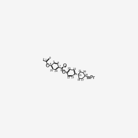 C=C(C)Oc1ccc(C(=O)Oc2ccc([C@H]3CC[C@H](CCC)CC3)cc2)cc1